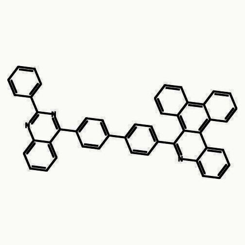 c1ccc(-c2nc(-c3ccc(-c4ccc(-c5nc6ccccc6c6c7ccccc7c7ccccc7c56)cc4)cc3)c3ccccc3n2)cc1